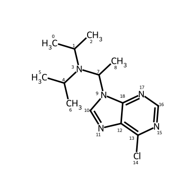 CC(C)N(C(C)C)C(C)n1cnc2c(Cl)ncnc21